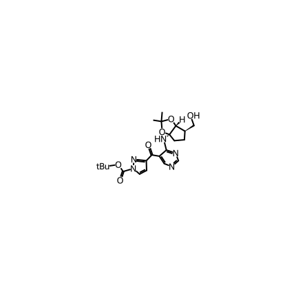 CC(C)(C)OC(=O)n1ccc(C(=O)c2cncnc2N[C@@]23CC[C@H](CO)[C@H]2OC(C)(C)O3)n1